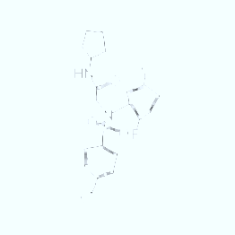 C[C@H](C(=O)NC1CCCC1)N(c1cc(Cl)ccc1F)S(=O)(=O)c1ccc(Cl)cc1